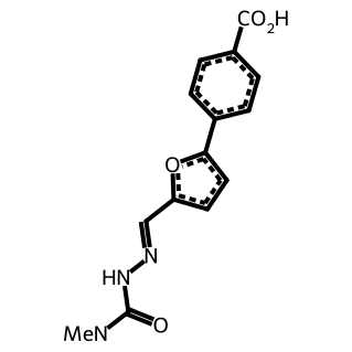 CNC(=O)N/N=C/c1ccc(-c2ccc(C(=O)O)cc2)o1